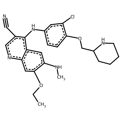 CCOc1cc2ncc(C#N)c(Nc3ccc(OCC4CCCCN4)c(Cl)c3)c2cc1NC